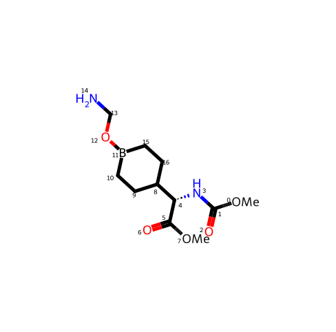 COC(=O)N[C@H](C(=O)OC)C1CCB(OCN)CC1